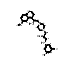 COc1ccc2nccc([C@H](O)CN3CCN(C[C@H](O)CNc4cc(F)cc(F)c4)CC3)c2c1